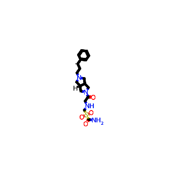 NC(=O)S(=O)(=O)CNCC(=O)N1CC2CN(CC[CH]c3ccccc3)C[C@H]2C1